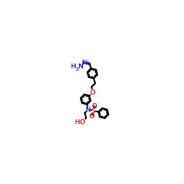 N/N=C\c1ccc(CCOc2cccc(N(CCO)S(=O)(=O)c3ccccc3)c2)cc1